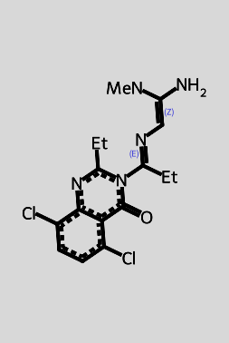 CC/C(=N\C=C(\N)NC)n1c(CC)nc2c(Cl)ccc(Cl)c2c1=O